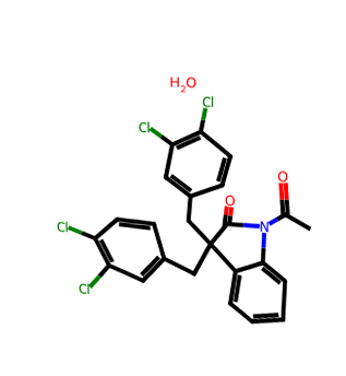 CC(=O)N1C(=O)C(Cc2ccc(Cl)c(Cl)c2)(Cc2ccc(Cl)c(Cl)c2)c2ccccc21.O